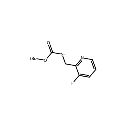 CC(C)(C)OC(=O)NCc1ncccc1F